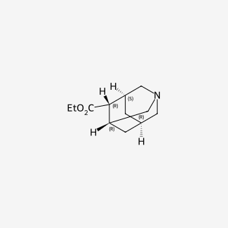 CCOC(=O)[C@@H]1[C@@H]2C[C@@H]3C[C@H]1CN(C3)C2